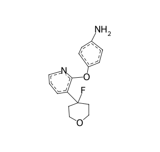 Nc1ccc(Oc2ncccc2C2(F)CCOCC2)cc1